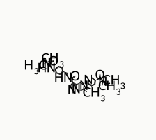 CC1Cn2ncc(C(=O)NCc3ccc(NC(=O)N(C)C)cc3)c2CN1c1ccc(C(=O)N(C)C)cn1